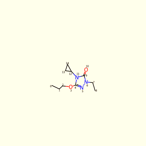 CCCOc1nn(CC)c(=O)n1C1CC1